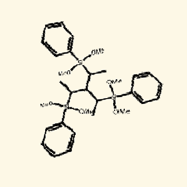 CO[Si](OC)(c1ccccc1)C(C)C(C(C)[Si](OC)(OC)c1ccccc1)C(C)[Si](OC)(OC)c1ccccc1